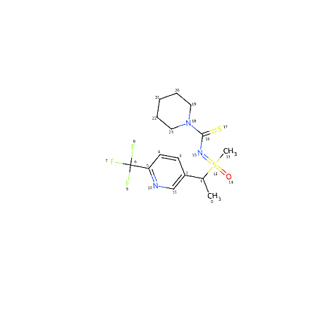 CC(c1ccc(C(F)(F)F)nc1)S(C)(=O)=NC(=S)N1CCCCC1